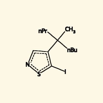 CCCCC(C)(CCC)c1cnsc1I